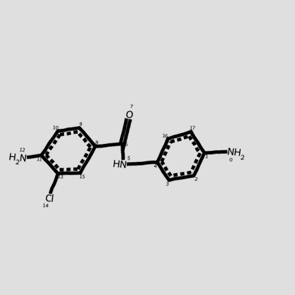 Nc1ccc(NC(=O)c2ccc(N)c(Cl)c2)cc1